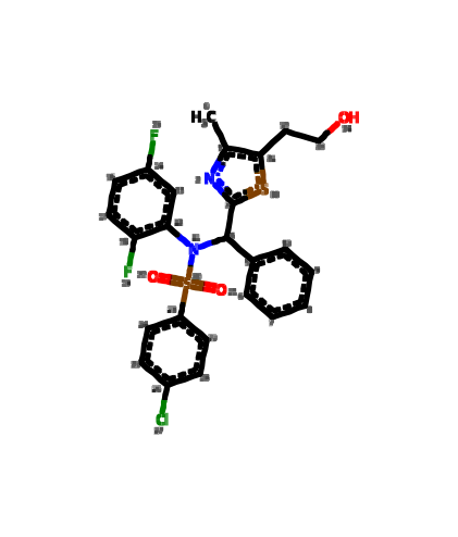 Cc1nc(C(c2ccccc2)N(c2cc(F)ccc2F)S(=O)(=O)c2ccc(Cl)cc2)sc1CCO